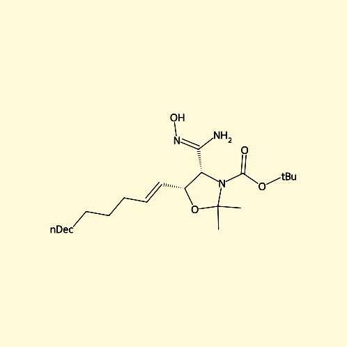 CCCCCCCCCCCCCC=C[C@H]1OC(C)(C)N(C(=O)OC(C)(C)C)[C@H]1C(N)=NO